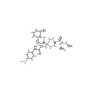 CCc1ccc(NC(=O)OCC2(N(C=O)Cc3ccccc3Cl)CCN(C(=O)[C@@H](N)CO)CC2)cc1